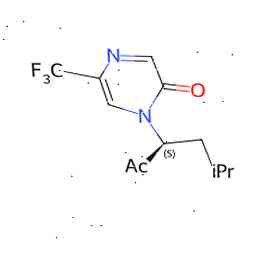 CC(=O)[C@H](CC(C)C)n1cc(C(F)(F)F)ncc1=O